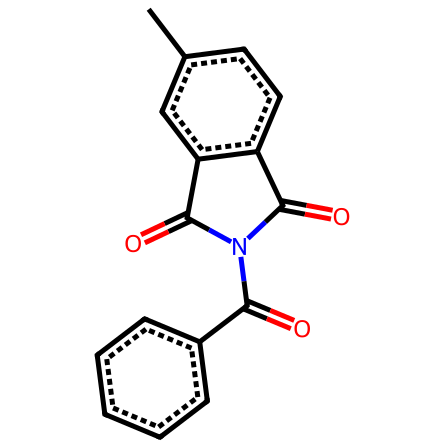 Cc1ccc2c(c1)C(=O)N(C(=O)c1ccccc1)C2=O